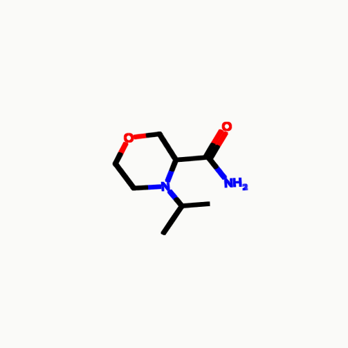 CC(C)N1CCOCC1C(N)=O